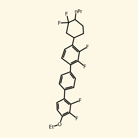 CCCC1CCC(c2ccc(-c3ccc(-c4ccc(OCC)c(F)c4F)cc3)c(F)c2F)CC1(F)F